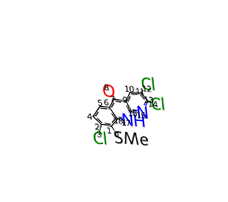 CSc1c(Cl)ccc2c(=O)c3cc(Cl)c(Cl)nc3[nH]c12